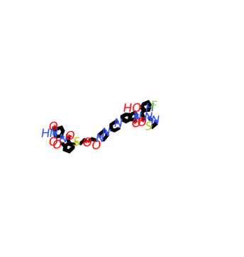 O=C1CCC(N2C(=O)c3cccc(SCCOCC(=O)N4CCN(C5CCN(c6ccc7c(c6)C(=O)N(C(C(=O)Nc6nccs6)c6cc(F)ccc6O)C7)CC5)CC4)c3C2=O)C(=O)N1